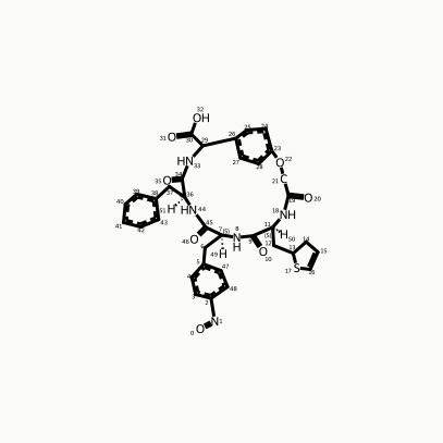 O=Nc1ccc(C[C@@H]2NC(=O)[C@H](CC3CC=CS3)NC(=O)COc3ccc(cc3)C(C(=O)O)NC(=O)[C@H](Cc3ccccc3)NC2=O)cc1